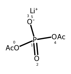 CC(=O)OP(=O)([O-])OC(C)=O.[Li+]